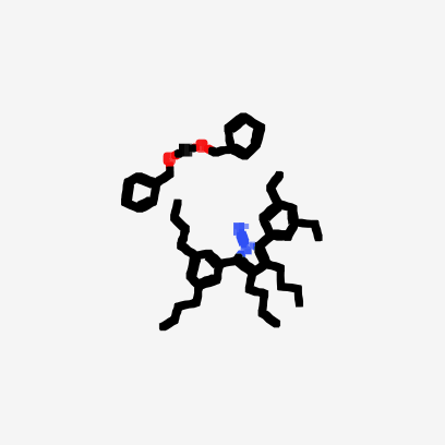 CCCCC1=C(c2cc(CC)cc(CC)c2)[N+](=[N-])C(c2cc(CCCC)cc(CCCC)c2)=C1CCCC.c1ccc(C[O][Ni][O]Cc2ccccc2)cc1